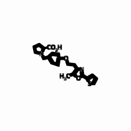 Cc1oc(-c2cccs2)nc1CCOc1ccc(CN2CCC[C@H]2C(=O)O)cc1